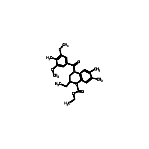 CCOC(=O)N1c2cc(C)c(C)cc2N(C(=O)c2cc(OC)c(C)c(OC)c2)CC1CC